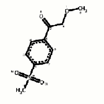 COCC(=O)c1ccc(S(C)(=O)=O)cc1